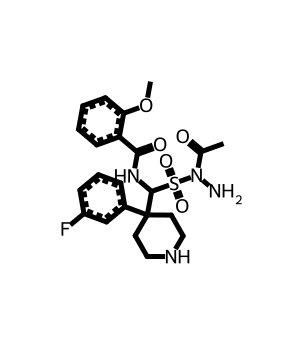 COc1ccccc1C(=O)NC(C1(c2cccc(F)c2)CCNCC1)S(=O)(=O)N(N)C(C)=O